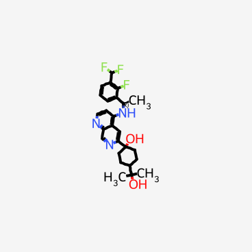 C[C@@H](Nc1ccnc2cnc(C3(O)CCC(C(C)(C)O)CC3)cc12)c1cccc(C(F)F)c1F